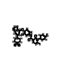 Cc1ccc(C(=O)Nc2ccc(Oc3cc(C4CCS(=O)(=O)CC4)cn4nccc34)c(F)c2)c(=O)n1-c1ccc(F)cc1